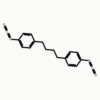 O=C=Nc1ccc(CCCCc2ccc(N=C=O)cc2)cc1